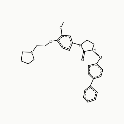 COc1cc(N2CC[C@@H](Oc3ccc(-c4ccccc4)cc3)C2=O)ccc1OCCN1CCCC1